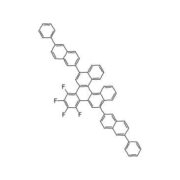 Fc1c(F)c(F)c2c3cc(-c4ccc5cc(-c6ccccc6)ccc5c4)c4ccccc4c3c3c4ccccc4c(-c4ccc5cc(-c6ccccc6)ccc5c4)cc3c2c1F